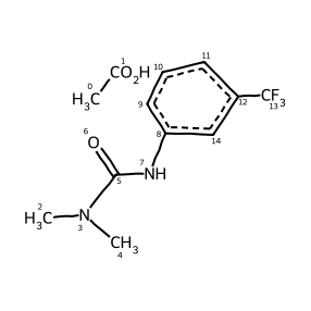 CC(=O)O.CN(C)C(=O)Nc1cccc(C(F)(F)F)c1